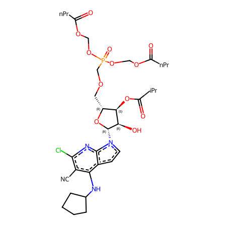 CCCC(=O)OCOP(=O)(COC[C@H]1O[C@@H](n2ccc3c(NC4CCCC4)c(C#N)c(Cl)nc32)[C@H](O)[C@@H]1OC(=O)C(C)C)OCOC(=O)CCC